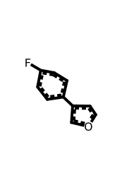 Fc1ccc(-c2ccoc2)cc1